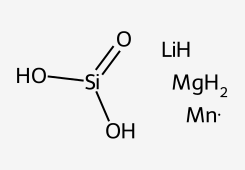 O=[Si](O)O.[LiH].[MgH2].[Mn]